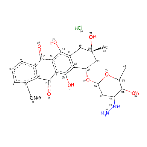 COc1cccc2c1C(=O)c1c(O)c3c(c(O)c1C2=O)C[C@@](O)(C(C)=O)C[C@@H]3OC1CC(NN)C(O)C(C)O1.Cl